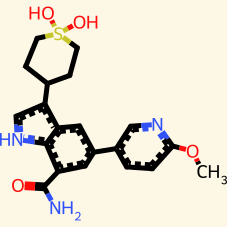 COc1ccc(-c2cc(C(N)=O)c3[nH]cc(C4CCS(O)(O)CC4)c3c2)cn1